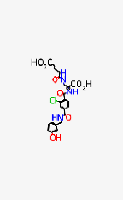 O=C(O)CCCC(=O)NC[C@H](NC(=O)c1ccc(C(=O)NCc2cccc(O)c2)cc1Cl)C(=O)O